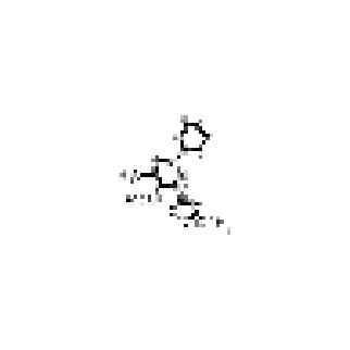 COc1c(C)nc(-c2ccccc2)nc1-c1nc(C)no1